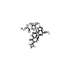 CNC(=O)[C@H]1O[C@@H](n2cnc3c(N)nc(C#CCN(C(=O)c4ccc(F)nc4)C4CCC4)nc32)[C@H](O)[C@@H]1O